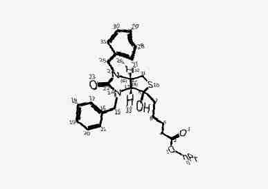 CCCOC(=O)CCCCC1(O)SC[C@@H]2[C@H]1N(Cc1ccccc1)C(=O)N2Cc1ccccc1